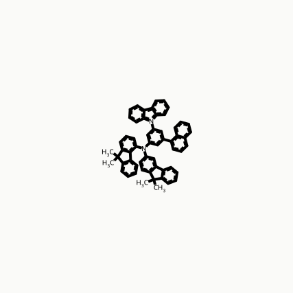 CC1(C)c2ccccc2-c2cc(N(c3cc(-c4cccc5ccccc45)cc(-n4c5ccccc5c5ccccc54)c3)c3cccc4c3-c3ccccc3C4(C)C)ccc21